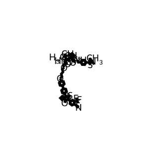 Cc1ncsc1-c1ccc(CNC(=O)[C@@H]2CCCN2C(=O)C(NC(=O)COCCCCOc2ccc(-c3ccc(N4C(=S)N(c5ccc(C#N)c(C(F)(F)F)c5)C(=O)C45CCC5)cc3)cc2)C(C)(C)C)cc1